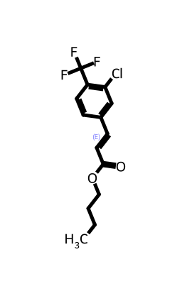 CCCCOC(=O)/C=C/c1ccc(C(F)(F)F)c(Cl)c1